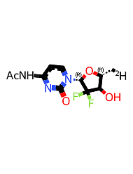 [2H]C[C@H]1O[C@@H](n2ccc(NC(C)=O)nc2=O)C(F)(F)C1O